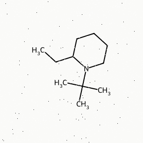 CCC1CCCCN1C(C)(C)C